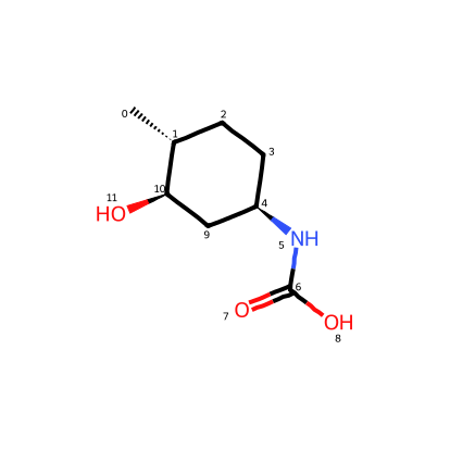 C[C@@H]1CC[C@@H](NC(=O)O)C[C@H]1O